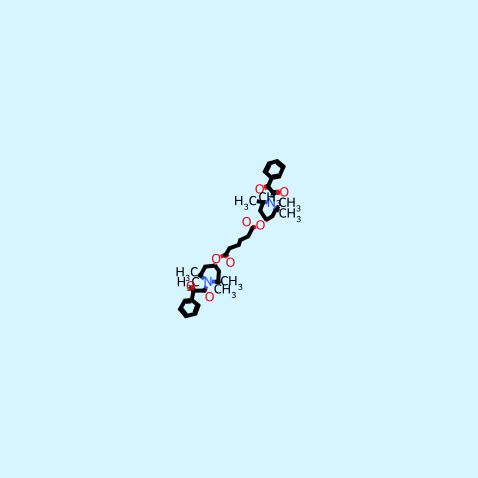 CC1(C)CC(OC(=O)CCCCC(=O)OC2CC(C)(C)N(C(=O)C(=O)c3ccccc3)C(C)(C)C2)CC(C)(C)N1C(=O)C(=O)c1ccccc1